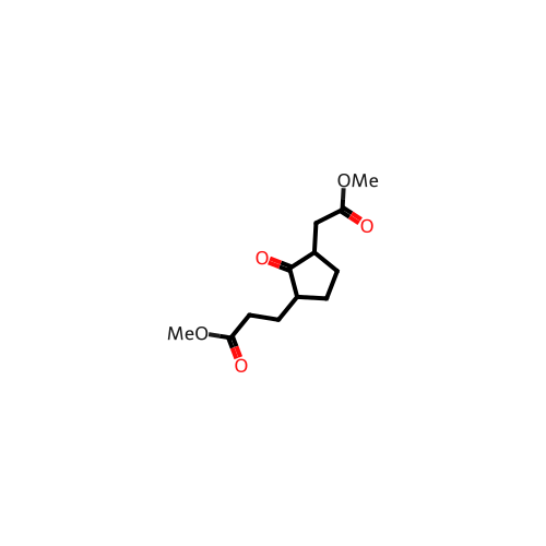 COC(=O)CCC1CCC(CC(=O)OC)C1=O